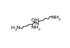 NCCCCCNC(=O)C(N)CCCCN